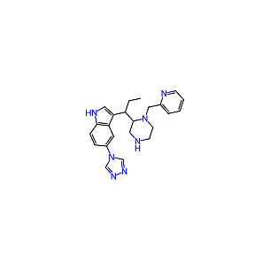 CCC(c1c[nH]c2ccc(-n3cnnc3)cc12)C1CNCCN1Cc1ccccn1